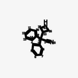 N#CC(c1ccccc1)(c1ccccc1)C1CNC1